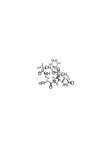 CCCC(CCNC(=O)C1(C)CC1)C(=O)N1C[C@@H](N(C)C(=O)OC2CCCCC2)[C@H](c2ccc(Cl)cc2)C1